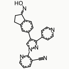 N#Cc1cccnc1-n1cc(-c2ccc3c(c2)CC/C3=N\O)c(-c2ccncc2)n1